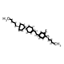 CCCCC[C@H]1CC[C@H](C2CC=C(CCc3ccc(OCCCC)c(F)c3)CC2)CC1